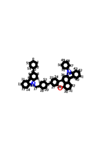 c1ccc(-c2ccc3c(c2)c2ccccc2n3Cc2ccc(-c3ccc4c(c3)Oc3cccc5c3c-4cc3c5c4ccccc4n3-c3ccccc3)cc2)cc1